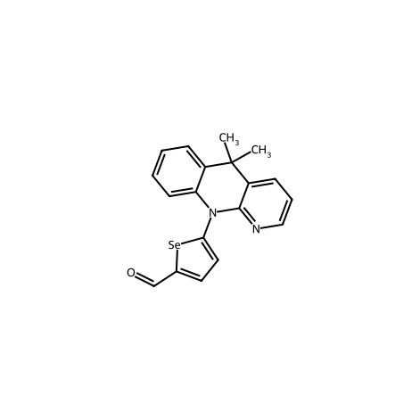 CC1(C)c2ccccc2N(c2ccc(C=O)[se]2)c2ncccc21